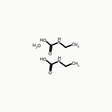 CCNC(=O)O.CCNC(=O)O.O